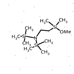 CO[Si](C)(C)CCN([Si](C)(C)C)[Si](C)(C)C